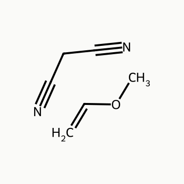 C=COC.N#CCC#N